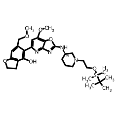 COCc1cc2c(c(O)c1-c1cc(OC)c3oc(N[C@@H]4CCCN(CCO[Si](C)(C)C(C)(C)C)C4)nc3n1)CCO2